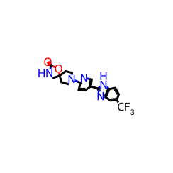 O=C1NCC2(CCN(c3ccc(-c4nc5cc(C(F)(F)F)ccc5[nH]4)cn3)CC2)O1